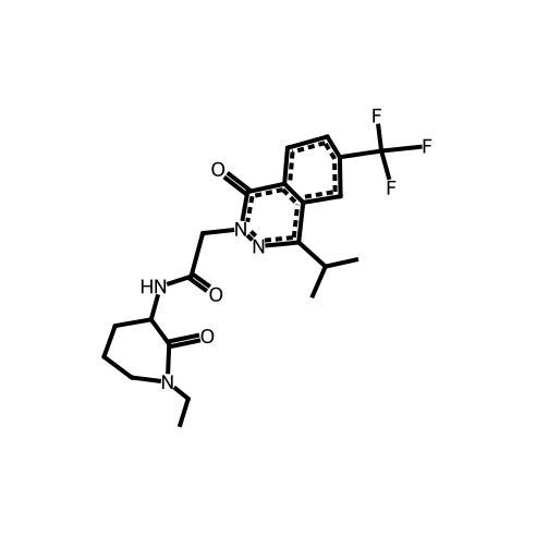 CCN1CCCC(NC(=O)Cn2nc(C(C)C)c3cc(C(F)(F)F)ccc3c2=O)C1=O